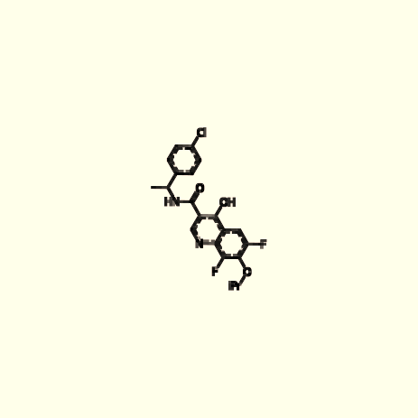 CC(C)Oc1c(F)cc2c(O)c(C(=O)NC(C)c3ccc(Cl)cc3)cnc2c1F